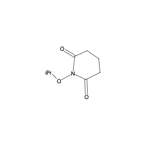 CC(C)ON1C(=O)CCCC1=O